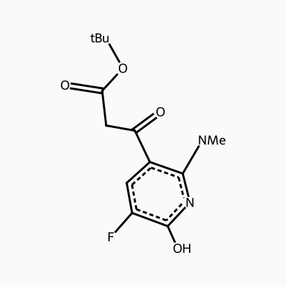 CNc1nc(O)c(F)cc1C(=O)CC(=O)OC(C)(C)C